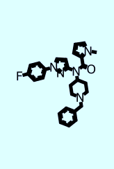 Cn1cccc1C(=O)N(c1ccn(-c2ccc(F)cc2)n1)C1CCN(Cc2ccccc2)CC1